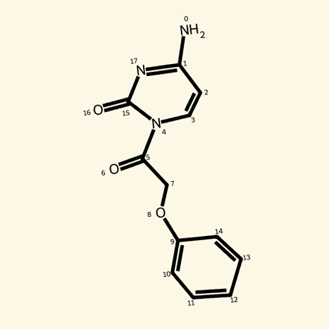 Nc1ccn(C(=O)COc2ccccc2)c(=O)n1